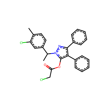 Cc1ccc(C(C)n2nc(-c3ccccc3)c(-c3ccccc3)c2OC(=O)CCl)cc1Cl